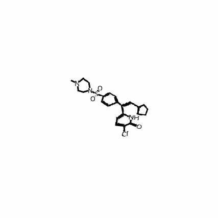 CN1CCN(S(=O)(=O)c2ccc(/C(=C/C3CCCC3)c3ccc(Cl)c(=O)[nH]3)cc2)CC1